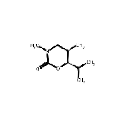 CC(C)[C@H]1OC(=O)N(C)C[C@H]1C